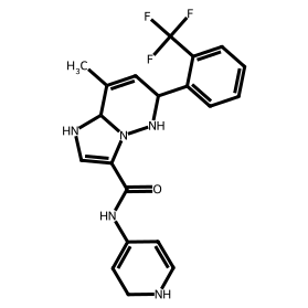 CC1=CC(c2ccccc2C(F)(F)F)NN2C(C(=O)NC3=CCNC=C3)=CNC12